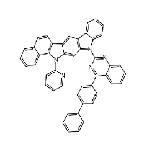 c1ccc(-c2ccc(-c3nc(-n4c5ccccc5c5cc6c7ccc8ccccc8c7n(-c7ccccn7)c6cc54)nc4ccccc34)cc2)cc1